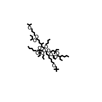 CCCCCOC(CC)(OCCC)C(C)(C)OC(C(C)CCC(OCCCCOC(C)C)OC(C)CC)C(OCCCC)OC(CCCCCCOCC(C)(C)C)OC(CC(C)(CC)OC([O])C(CC)CCCC)OCCC